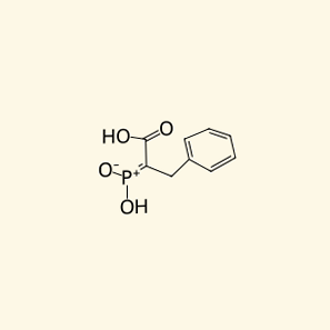 O=C(O)/C(Cc1ccccc1)=[P+](\[O-])O